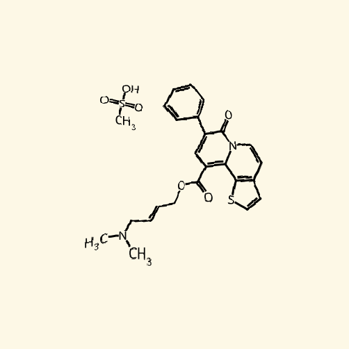 CN(C)CC=CCOC(=O)c1cc(-c2ccccc2)c(=O)n2ccc3ccsc3c12.CS(=O)(=O)O